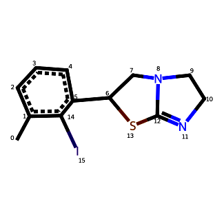 Cc1cccc(C2CN3CCN=C3S2)c1I